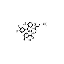 O=C(CC[SiH3])N1CCN2C(=O)c3c(O)c(=O)ccn3N(C3c4ccccc4SCc4c3ccc(F)c4F)C2C1